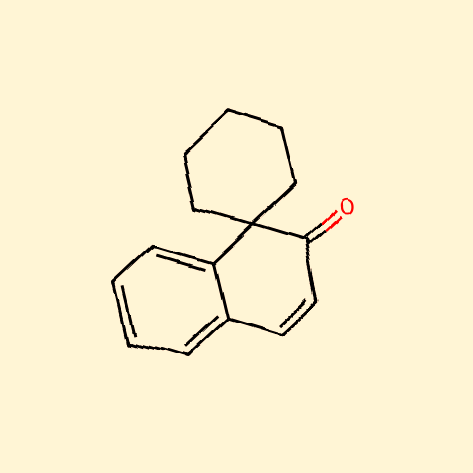 O=C1C=Cc2ccccc2C12CCCCC2